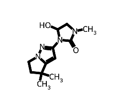 CN1CC(O)N(c2cc3n(n2)CCC3(C)C)C1=O